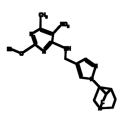 CCOc1nc(C)c([N+](=O)[O-])c(NCc2cnn(C3CN4CCC3CC4)c2)n1